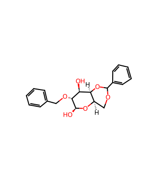 O[C@@H]1[C@@H](OCc2ccccc2)[C@H](O)O[C@@H]2COC(c3ccccc3)O[C@H]12